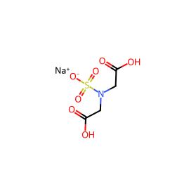 O=C(O)CN(CC(=O)O)S(=O)(=O)[O-].[Na+]